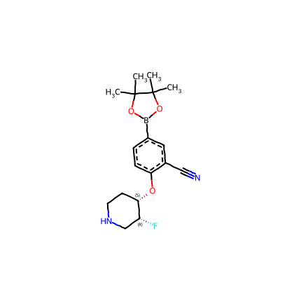 CC1(C)OB(c2ccc(O[C@H]3CCNC[C@H]3F)c(C#N)c2)OC1(C)C